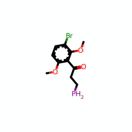 COc1ccc(Br)c(OC)c1C(=O)CCP